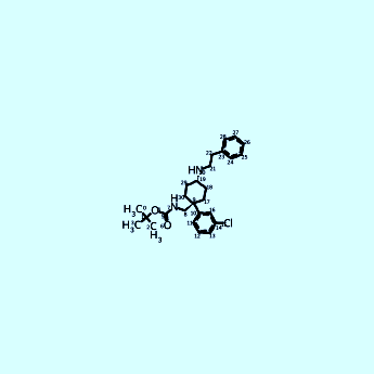 CC(C)(C)OC(=O)NC[C@]1(c2cccc(Cl)c2)CC[C@@H](NCCc2ccccc2)CC1